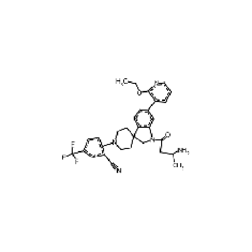 CCOc1ncccc1-c1ccc2c(c1)N(C(=O)C[C@H](C)N)CC21CCN(c2ccc(C(F)(F)F)cc2C#N)CC1